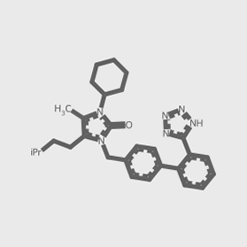 Cc1c(CCC(C)C)n(Cc2ccc(-c3ccccc3-c3nnn[nH]3)cc2)c(=O)n1C1CCCCC1